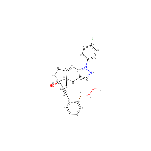 COOSc1ccccc1C#C[C@]1(O)CCC2=Cc3c(cnn3-c3ccc(F)cc3)C[C@@]21C